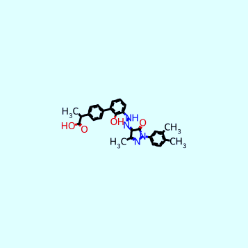 CC1=NN(c2ccc(C)c(C)c2)C(=O)C1=NNc1cccc(-c2ccc(C(C)C(=O)O)cc2)c1O